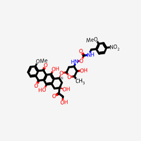 COc1cc([N+](=O)[O-])ccc1CNC(=O)ONC1CC(O[C@H]2C[C@](O)(C(=O)CO)Cc3c(O)c4c(c(O)c32)C(=O)c2c(OC)cccc2C4=O)OC(C)C1O